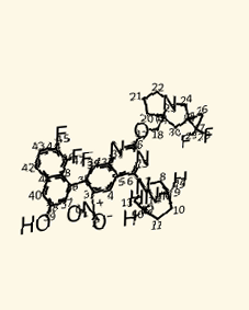 O=[N+]([O-])c1cc2c(N3C[C@H]4CC[C@@H](C3)N4)nc(OC[C@@]34CCCN3C[C@]3(CC3(F)F)C4)nc2c(F)c1-c1cc(O)cc2ccc(F)c(F)c12